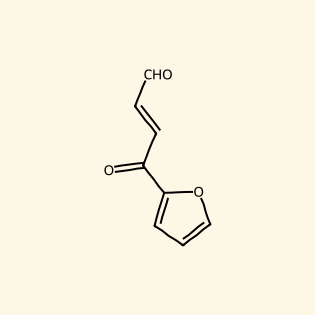 O=CC=CC(=O)c1ccco1